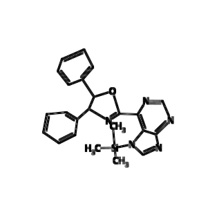 C[Si](C)(C)n1cnc2ncnc(C3=NC(c4ccccc4)C(c4ccccc4)O3)c21